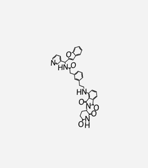 O=C1CCC(N2C(=O)c3cccc(NCCc4cccc(CC(=O)NC(c5cccnc5)c5cc6ccccc6o5)c4)c3C2=O)C(=O)N1